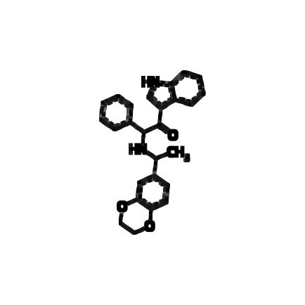 CC(NC(C(=O)c1c[nH]c2ccccc12)c1ccccc1)c1ccc2c(c1)OCCO2